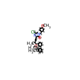 COc1ccc(Cn2cc(Cl)nc(C#CC(C)CO[Si](c3ccccc3)(c3ccccc3)C(C)(C)C)c2=O)cc1